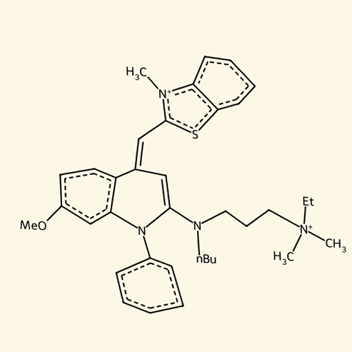 CCCCN(CCC[N+](C)(C)CC)C1=CC(=Cc2sc3ccccc3[n+]2C)c2ccc(OC)cc2N1c1ccccc1